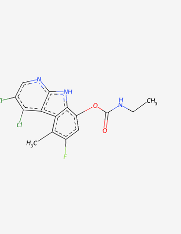 CCNC(=O)Oc1cc(F)c(C)c2c1[nH]c1ncc(Cl)c(Cl)c12